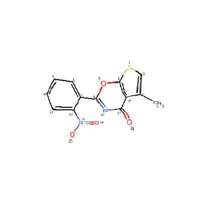 Cc1csc2oc(-c3ccccc3[N+](=O)[O-])nc(=O)c12